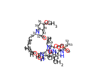 C=C[C@@H]1CC1(NC(=O)[C@@H]1C[C@@H]2CN1C(=O)[C@H](C(C)(C)C)NC(=O)O[C@@H]1C[C@H]1CCCCCc1nc3ccc(OC)cc3cc1O2)C(=O)NS(=O)(=O)C1CC1